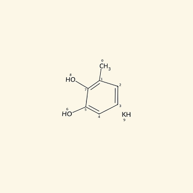 Cc1cccc(O)c1O.[KH]